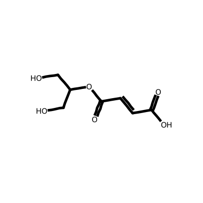 O=C(O)/C=C/C(=O)OC(CO)CO